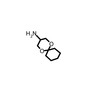 NC1COC2(CCCCC2)OC1